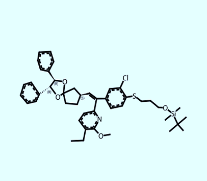 CCc1ccc(C(=C[C@H]2CCC3(C2)O[C@H](c2ccccc2)[C@@H](c2ccccc2)O3)c2ccc(SCCCO[Si](C)(C)C(C)(C)C)c(Cl)c2)nc1OC